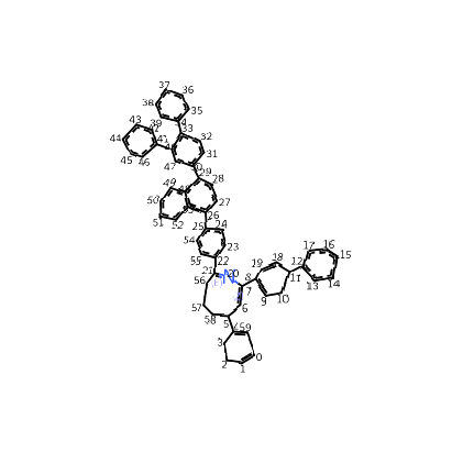 C1=CCCC(C2/C=C(C3=CCC(c4ccccc4)C=C3)\N=C(\c3ccc(-c4ccc(-c5ccc(-c6ccccc6)c(-c6ccccc6)c5)c5ccccc45)cc3)CCC2)=C1